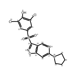 O=S(=O)(c1cc(Cl)c(O)c(Cl)n1)c1noc2cc(N3CCCC3)ncc12